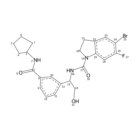 O=C(NC1CCCC1)c1cccc(C(CO)NC(=O)N2CCc3cc(Br)c(F)cc32)c1